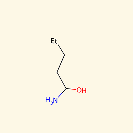 CCCCC(N)O